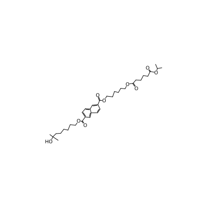 CC(C)OC(=O)CCCCC(=O)OCCCCCCOC(=O)c1ccc2cc(C(=O)OCCCCCCC(C)(C)O)ccc2c1